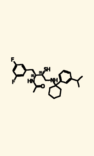 CC(=O)N[C@@H](Cc1cc(F)cc(F)c1)[C@@H](S)CNC1(c2cccc(C(C)C)c2)CCCCC1